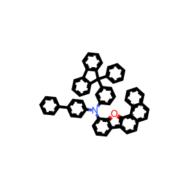 c1ccc(-c2ccc(N(c3cccc(C4(c5ccccc5)c5ccccc5-c5ccccc54)c3)c3cccc4c3oc3c4ccc4ccc5ccccc5c43)cc2)cc1